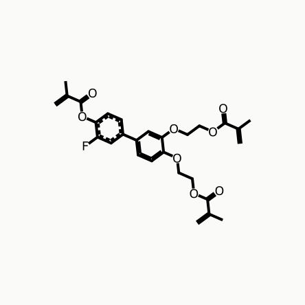 C=C(C)C(=O)OCCOC1=C=C=C(c2ccc(OC(=O)C(=C)C)c(F)c2)C=C1OCCOC(=O)C(=C)C